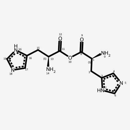 N[C@@H](Cc1cnc[nH]1)C(=O)OC(=O)[C@@H](N)Cc1cnc[nH]1